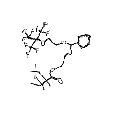 CC(C)(C)CC(C)(C(=O)OCCOC(OCCOC(C(F)(F)F)(C(F)(F)F)C(F)(F)F)c1ccccc1)C(C)(C)C